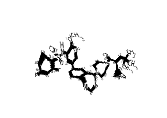 COc1ncc(-c2ccc3ncnc(N4CCN(C(=O)/C(C#N)=C/C(C)(C)C)CC4)c3c2)cc1NS(=O)(=O)c1ccc(F)cc1F